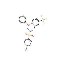 CN(Cc1cc(C(F)(F)F)ccc1Oc1c[c]ccc1)S(=O)(=O)c1ccc(Cl)cc1